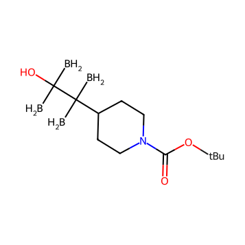 BC(B)(O)C(B)(B)C1CCN(C(=O)OC(C)(C)C)CC1